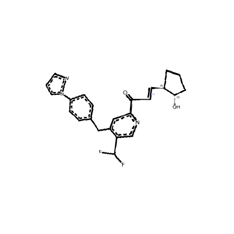 O=C(/C=C/[C@H]1CCC[C@@H]1O)c1cc(Cc2ccc(-n3cccn3)cc2)c(C(F)F)cn1